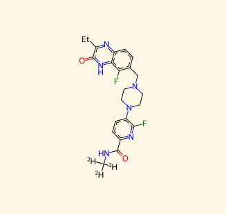 [2H]C([2H])([2H])NC(=O)c1ccc(N2CCN(Cc3ccc4nc(CC)c(=O)[nH]c4c3F)CC2)c(F)n1